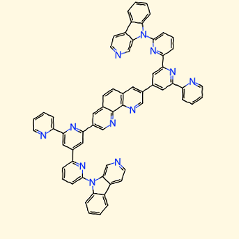 c1ccc(-c2cc(-c3cccc(-n4c5ccccc5c5ccncc54)n3)cc(-c3cnc4c(ccc5cc(-c6cc(-c7ccccn7)nc(-c7cccc(-n8c9ccccc9c9ccncc98)n7)c6)cnc54)c3)n2)nc1